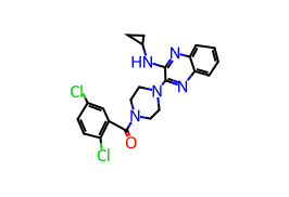 O=C(c1cc(Cl)ccc1Cl)N1CCN(c2nc3ccccc3nc2NC2CC2)CC1